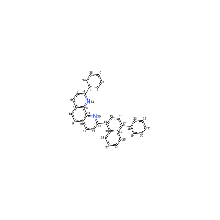 c1ccc(-c2ccc3ccc4ccc(-c5ccc(-c6ccccc6)c6ccccc56)nc4c3n2)cc1